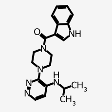 CC(C)Nc1ccnnc1N1CCN(C(=O)c2c[nH]c3ccccc23)CC1